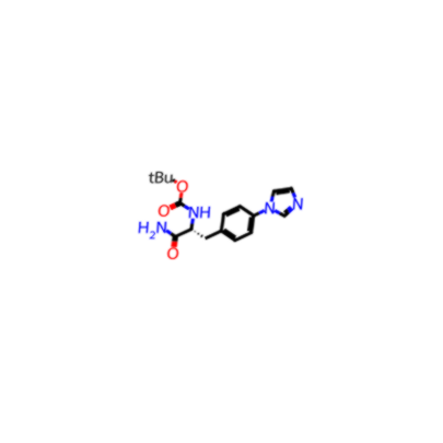 CC(C)(C)OC(=O)N[C@H](Cc1ccc(-n2ccnc2)cc1)C(N)=O